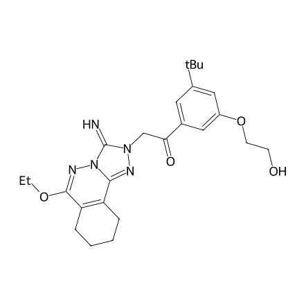 CCOc1nn2c(=N)n(CC(=O)c3cc(OCCO)cc(C(C)(C)C)c3)nc2c2c1CCCC2